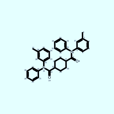 Cc1cccc(N(C(=O)C2CCC(C(=O)N(c3ccccc3)c3cccc(C)c3)CC2)c2ccccc2)c1